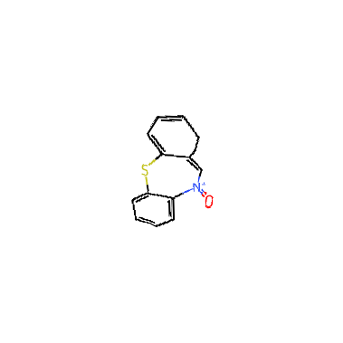 O=[N+]1C=C2CC=CC=C2Sc2ccccc21